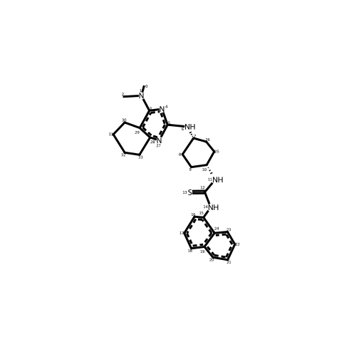 CN(C)c1nc(N[C@H]2CC[C@@H](NC(=S)Nc3cccc4ccccc34)CC2)nc2c1CCCC2